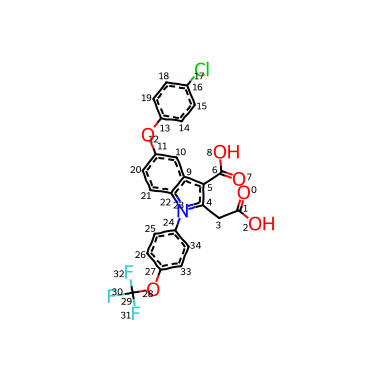 O=C(O)Cc1c(C(=O)O)c2cc(Oc3ccc(Cl)cc3)ccc2n1-c1ccc(OC(F)(F)F)cc1